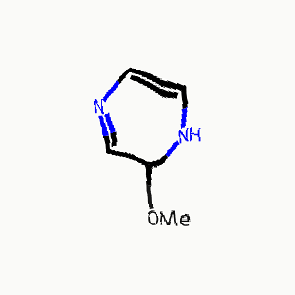 CO[C]1C=NC=CN1